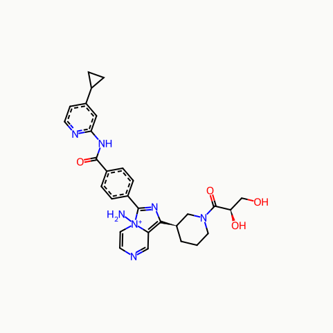 N[N+]12C=CN=CC1=C([C@@H]1CCCN(C(=O)[C@H](O)CO)C1)N=C2c1ccc(C(=O)Nc2cc(C3CC3)ccn2)cc1